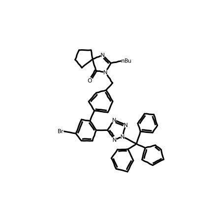 CCCCC1=NC2(CCCC2)C(=O)N1Cc1ccc(-c2cc(Br)ccc2-c2nnn(C(c3ccccc3)(c3ccccc3)c3ccccc3)n2)cc1